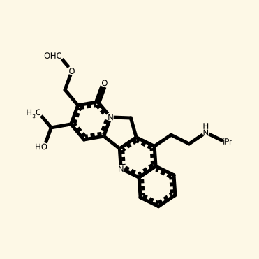 CC(C)NCCc1c2c(nc3ccccc13)-c1cc(C(C)O)c(COC=O)c(=O)n1C2